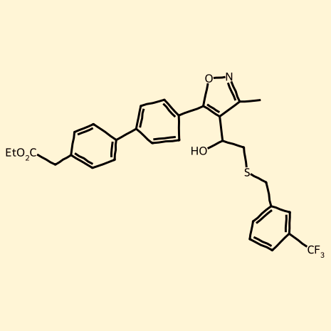 CCOC(=O)Cc1ccc(-c2ccc(-c3onc(C)c3C(O)CSCc3cccc(C(F)(F)F)c3)cc2)cc1